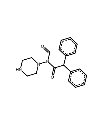 O=[C]N(C(=O)C(c1ccccc1)c1ccccc1)N1CCNCC1